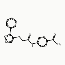 NC(=O)c1ccc(NC(=O)CCc2cnoc2-c2ccccc2)cc1